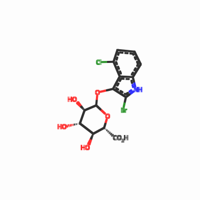 O=C(O)[C@H]1OC(Oc2c(Br)[nH]c3cccc(Cl)c23)[C@H](O)[C@@H](O)[C@@H]1O